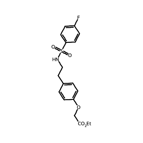 CCOC(=O)COc1ccc(CCNS(=O)(=O)c2ccc(F)cc2)cc1